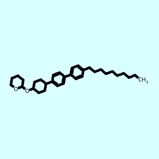 CCCCCCCCCCc1ccc(-c2ccc(C3CCC(OC4CCCCO4)CC3)cc2)cc1